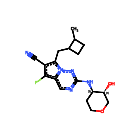 CC1CCC1Cc1c(C#N)c(F)c2cnc(N[C@@H]3CCOC[C@H]3O)nn12